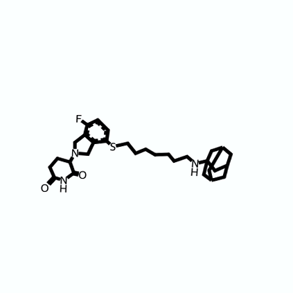 O=C1CCC(N2Cc3c(F)ccc(SCCCCCCCNC45CC6CC(CC(C6)C4)C5)c3C2)C(=O)N1